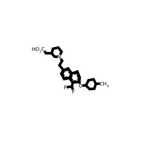 CC1CCC(Oc2ccc3cc(CCN4CCCC(CC(=O)O)C4)ccc3c2C(F)F)CC1